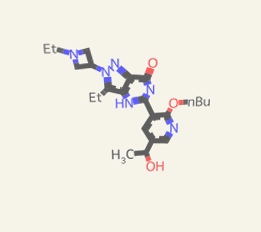 CCCCOc1ncc(C(C)O)cc1-c1nc(=O)c2nn(C3CN(CC)C3)c(CC)c2[nH]1